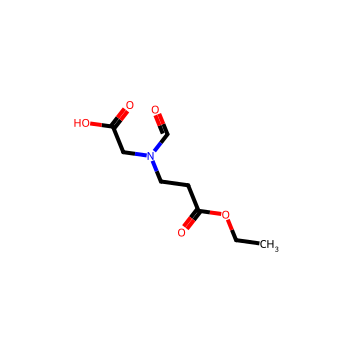 CCOC(=O)CCN(C=O)CC(=O)O